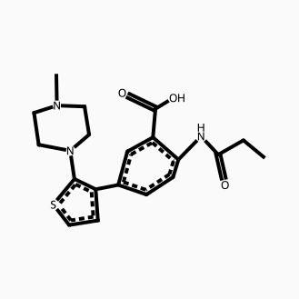 CCC(=O)Nc1ccc(-c2ccsc2N2CCN(C)CC2)cc1C(=O)O